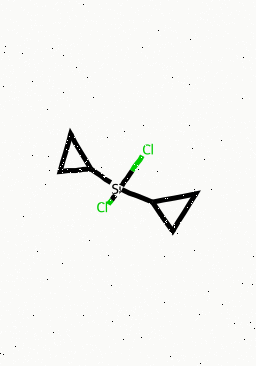 Cl[Si](Cl)(C1CC1)C1CC1